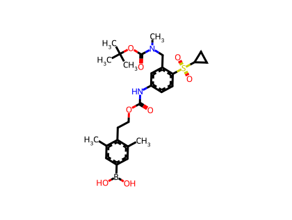 Cc1cc(B(O)O)cc(C)c1CCOC(=O)Nc1ccc(S(=O)(=O)C2CC2)c(CN(C)C(=O)OC(C)(C)C)c1